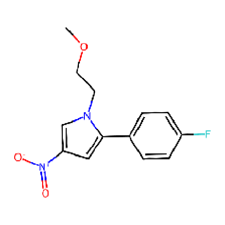 COCCn1cc([N+](=O)[O-])cc1-c1ccc(F)cc1